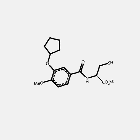 CCOC(=O)[C@@H](CS)NC(=O)c1ccc(OC)c(OC2CCCC2)c1